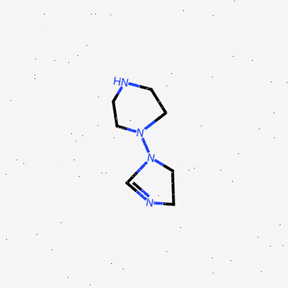 C1=NCCN1N1CCNCC1